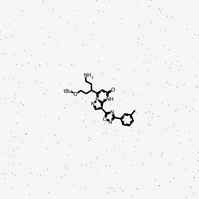 Cc1cccc(-c2noc(-c3cnn4c(C(CCN)CCOC(C)(C)C)cc(=O)[nH]c34)n2)c1